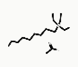 CC(=O)[O-].CCCCCCCCC[N+](CC)(CC)CC